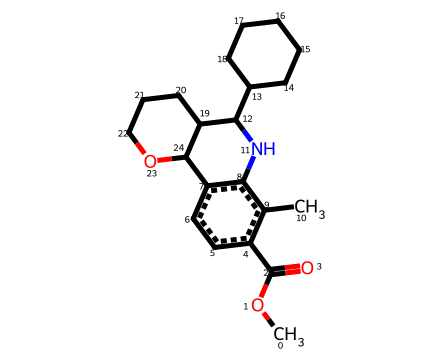 COC(=O)c1ccc2c(c1C)NC(C1CCCCC1)C1CCCOC21